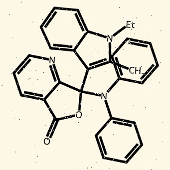 CCn1c(C)c(C2(N(c3ccccc3)c3ccccc3)OC(=O)c3cccnc32)c2ccccc21